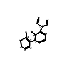 C=CN(C=C)C1=CC=CC(C2=C(C)CCC=C2)C1C